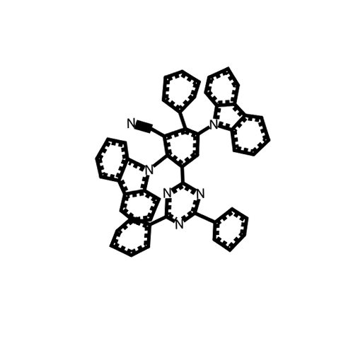 N#Cc1c(-c2ccccc2)c(-n2c3ccccc3c3ccccc32)cc(-c2nc(-c3ccccc3)nc(-c3ccccc3)n2)c1-n1c2ccccc2c2ccccc21